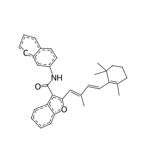 CC1=C(/C=C/C(C)=C/c2oc3ccccc3c2C(=O)Nc2ccc3ccccc3c2)C(C)(C)CCC1